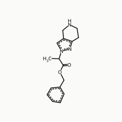 CC(C(=O)OCc1ccccc1)n1cc2c(n1)CCNC2